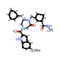 COc1ccc2[nH]c(C(=O)N3CC(=O)N(Cc4cccc(C(=O)NC(C)C)c4)[C@@H](Cc4ccccc4)C3)cc2c1